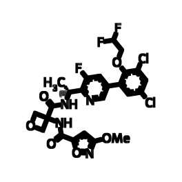 COc1cc(C(=O)NC2(C(=O)N[C@H](C)c3ncc(-c4cc(Cl)cc(Cl)c4OCC(F)F)cc3F)COC2)on1